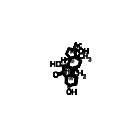 CC(=O)[C@@]1(O)CC[C@H]2[C@@H]3[C@@H](O)C(=O)C4=C[C@@H](O)C=C[C@]4(C)[C@H]3CC[C@@]21C